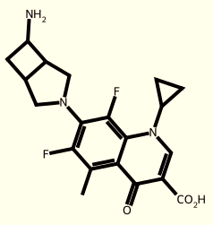 Cc1c(F)c(N2CC3CC(N)C3C2)c(F)c2c1c(=O)c(C(=O)O)cn2C1CC1